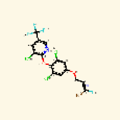 F/C(Br)=C/COc1cc(Cl)c(Oc2ncc(C(F)(F)F)cc2Cl)c(Cl)c1